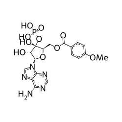 COc1ccc(C(=O)OC[C@H]2O[C@@H](n3cnc4c(N)ncnc43)[C@H](O)[C@]2(O)OP(=O)(O)O)cc1